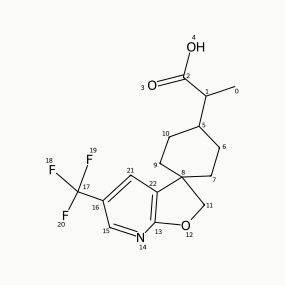 CC(C(=O)O)C1CCC2(CC1)COc1ncc(C(F)(F)F)cc12